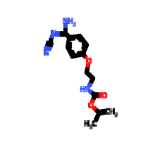 C=C(C)OC(=O)NCCOc1ccc(/C(N)=N\C#N)cc1